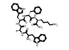 C[C@H](NC(=O)C(N)Cc1c[nH]c2ccccc12)C(=O)N[C@@H](Cc1c[nH]c2ccccc12)C(=O)N[C@H](Cc1ccccc1)C(=O)N[C@@H](CCCCN)C(N)=O